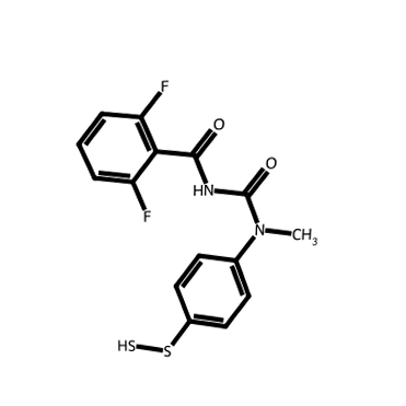 CN(C(=O)NC(=O)c1c(F)cccc1F)c1ccc(SS)cc1